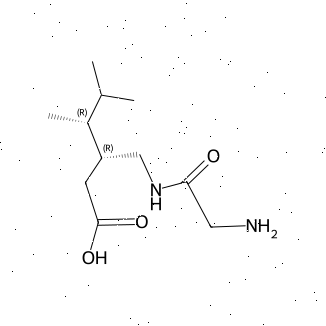 CC(C)[C@@H](C)[C@H](CNC(=O)CN)CC(=O)O